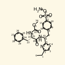 CCc1csc([C@H](Cc2ccc(S(=O)(=O)ON)cc2)NC(=O)[C@H](Cc2ccccc2)NC(=O)OC)n1